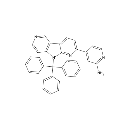 Nc1cc(-c2ccc3c4cnccc4n(C(c4ccccc4)(c4ccccc4)c4ccccc4)c3n2)ccn1